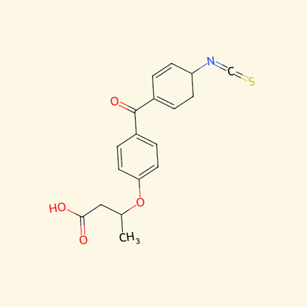 CC(CC(=O)O)Oc1ccc(C(=O)C2=CCC(N=C=S)C=C2)cc1